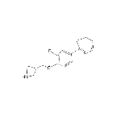 Fc1cc(C2=CC=CCC2)ccc1OCC1CNC1